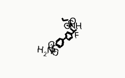 CCCS(=O)(=O)NCC(C)(F)c1ccc(-c2ccc(S(N)(=O)=O)cc2)cc1